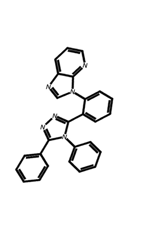 c1ccc(-c2nnc(-c3ccccc3-n3cnc4cccnc43)n2-c2ccccc2)cc1